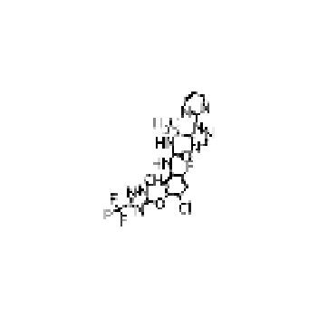 C[C@H](NC(=O)Nc1cc(Oc2nc(C(F)(F)F)nn2C)c(Cl)cc1F)c1ncnn1-c1ncccn1